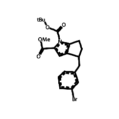 COC(=O)c1cc2c(n1C(=O)OC(C)(C)C)CCC2Cc1cccc(Br)c1